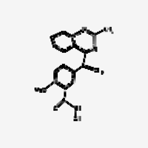 C=C(c1ccc(OC)c(C(=O)NO)c1)c1nc(C)nc2ccccc12